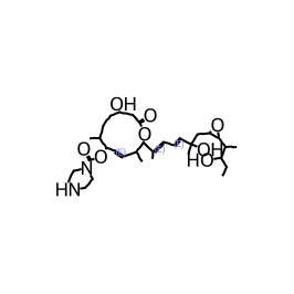 CCC(O)C(C)C1OC1CC(C)(O)/C=C/C=C(\C)C1OC(=O)CC(O)CCC(C)C(OC(=O)N2CCNCC2)/C=C/C1C